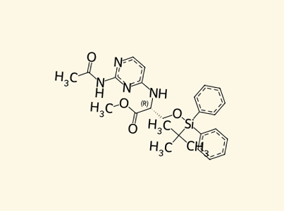 COC(=O)[C@@H](CO[Si](c1ccccc1)(c1ccccc1)C(C)(C)C)Nc1ccnc(NC(C)=O)n1